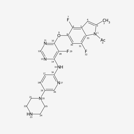 CC(=O)n1c(C)cc2c(F)c(Oc3ncnc(Nc4ccc(N5CCNCC5)cn4)c3F)cc(F)c21